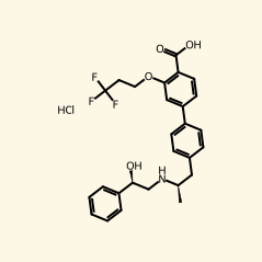 C[C@H](Cc1ccc(-c2ccc(C(=O)O)c(OCCC(F)(F)F)c2)cc1)NC[C@H](O)c1ccccc1.Cl